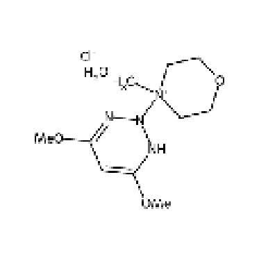 COC1=CC(OC)=NN([N+]2(C)CCOCC2)N1.O.[Cl-]